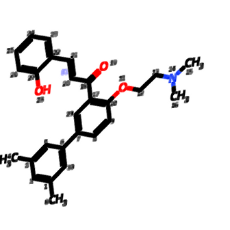 Cc1cc(C)cc(-c2ccc(OCCN(C)C)c(C(=O)/C=C/c3ccccc3O)c2)c1